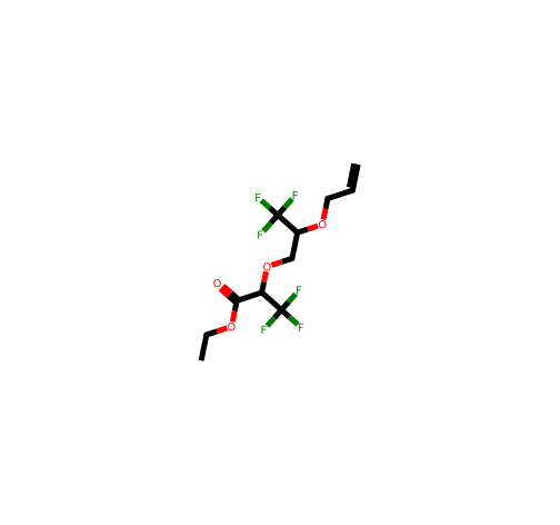 C=CCOC(COC(C(=O)OCC)C(F)(F)F)C(F)(F)F